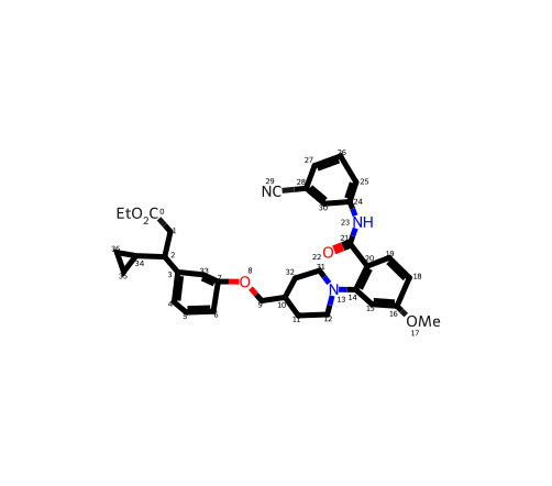 CCOC(=O)CC(c1cccc(OCC2CCN(c3cc(OC)ccc3C(=O)Nc3cccc(C#N)c3)CC2)c1)C1CC1